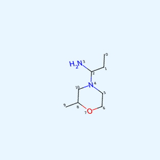 CCC(N)N1CCOC(C)C1